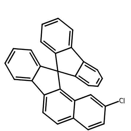 Clc1ccc2ccc3c(c2c1)C1(c2ccccc2-c2ccccc21)c1ccccc1-3